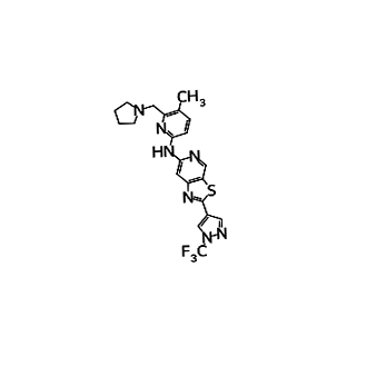 Cc1ccc(Nc2cc3nc(-c4cnn(C(F)(F)F)c4)sc3cn2)nc1CN1CCCC1